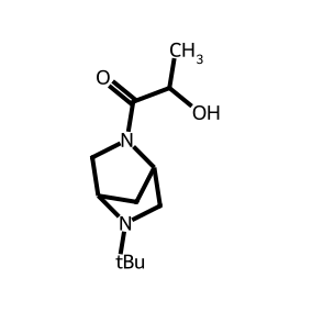 CC(O)C(=O)N1CC2CC1CN2C(C)(C)C